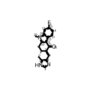 Cc1[nH]cnc1/C=C1\CCc2c(c3ccc(F)cc3n2C)C1=O